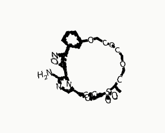 CC1CCOCCOCCOc2cccc(c2)-c2cc(on2)-c2nc(cnc2N)-c2ccc(cc2)S1(=O)=O